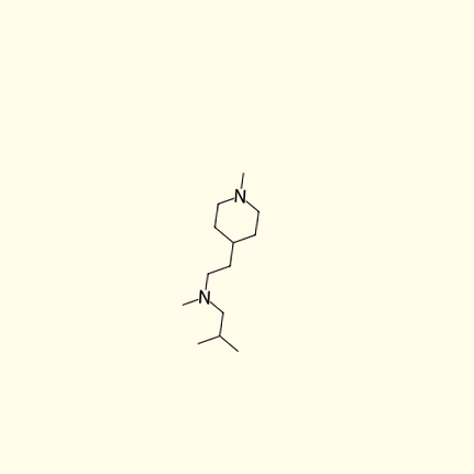 CC(C)CN(C)CCC1CCN(C)CC1